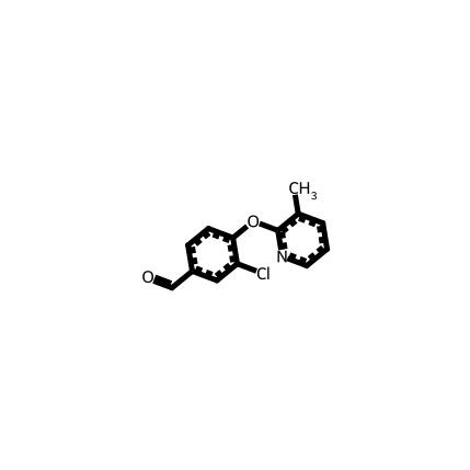 Cc1cccnc1Oc1ccc(C=O)cc1Cl